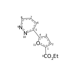 CCOC(=O)c1ccc(-c2cccnn2)o1